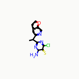 CC(C1=NC(N)C(=S)C(Cl)=N1)c1cc2ccoc2cn1